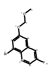 COCOc1cc(Br)c2ncc(F)cc2c1